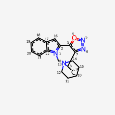 Cn1c(-c2onnc2C2CC3CCN2CC3)cc2ccccc21